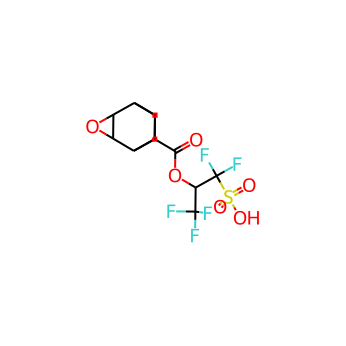 O=C(OC(C(F)(F)F)C(F)(F)S(=O)(=O)O)C1CC2CCC1C1OC21